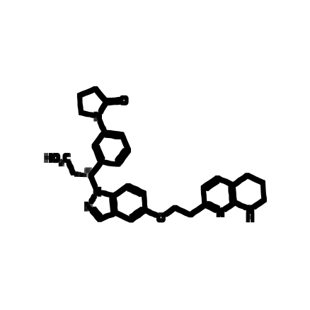 O=C(O)C[C@H](c1cccc(N2CCCC2=O)c1)n1ncc2cc(OCCc3ccc4c(n3)NCCC4)ccc21